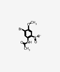 COc1cc([N+](=O)[O-])c(NC(C)=O)cc1Br